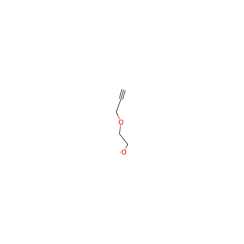 C#CCOCC[O]